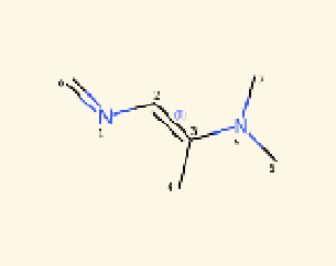 C=N/C=C(\C)N(C)C